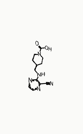 N#Cc1nccnc1NCC1CCN(C(=O)O)CC1